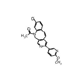 COc1ccc(-c2cc3c(cn2)CN(C(C)=O)c2cc(Cl)ccc2C=C3)cn1